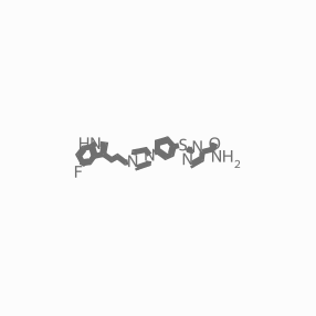 NC(=O)c1ccnc(Sc2ccc(N3CCN(CCCc4c[nH]c5ccc(F)cc45)CC3)cc2)n1